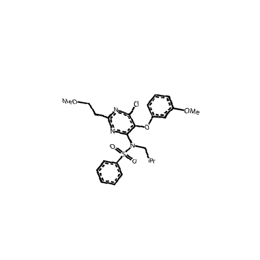 COCCc1nc(Cl)c(Oc2cccc(OC)c2)c(N(CC(C)C)S(=O)(=O)c2ccccc2)n1